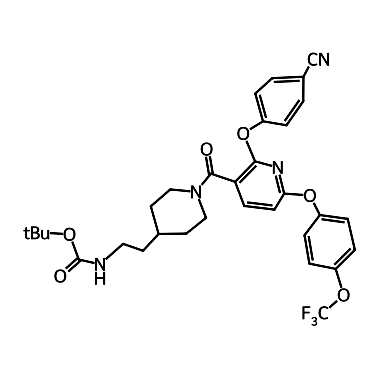 CC(C)(C)OC(=O)NCCC1CCN(C(=O)c2ccc(Oc3ccc(OC(F)(F)F)cc3)nc2Oc2ccc(C#N)cc2)CC1